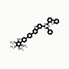 Bc1c(B)c(B)c(-c2ccc(-c3ccc(-c4ccc5c(c4)oc4ccc(-c6nc(-c7ccccc7)nc(-c7cccc8c7oc7ccccc78)n6)cc45)cc3)cc2)c(B)c1B